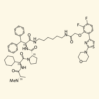 CN[C@@H](C)C(=O)N[C@H](C(=O)N1CCC[C@H]1C(=O)N[C@H](C(=O)NCCCCCCNC(=O)COc1c(-c2csc(N3CCOCC3)n2)ccc(F)c1F)C(c1ccccc1)c1ccccc1)C1CCCCC1